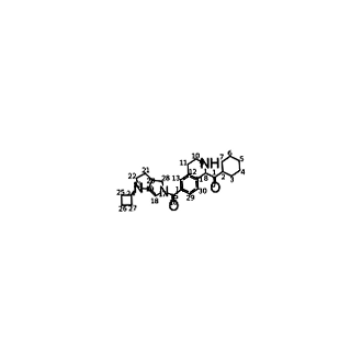 O=C(C1CCCCC1)C1NCCc2cc(C(=O)N3C=C4C(CCN4C4CCC4)C3)ccc21